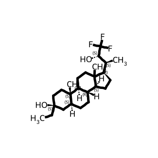 CC[C@]1(O)CC[C@@]2(C)[C@@H](CC[C@H]3[C@@H]4CC[C@H]([C@H](C)[C@H](O)C(F)(F)F)C4(C)CC[C@@H]32)C1